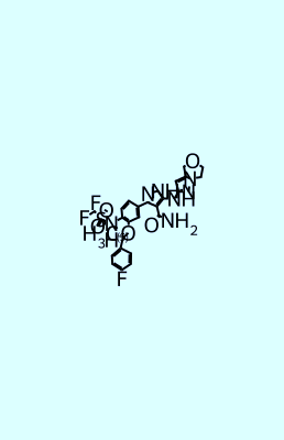 C[C@H](Oc1cc(-c2n[nH]c(Nc3cc4n(n3)CCOC4)c2C(N)=O)ccc1NS(=O)(=O)C(F)F)c1ccc(F)cc1